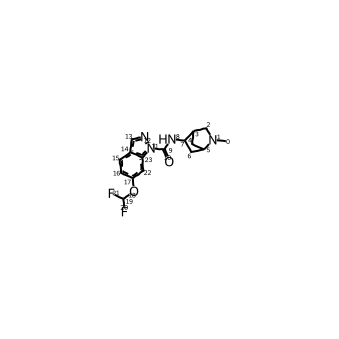 CN1CC2CC1CC2NC(=O)n1ncc2ccc(OC(F)F)cc21